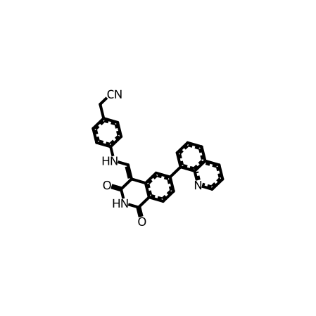 N#CCc1ccc(N/C=C2\C(=O)NC(=O)c3ccc(-c4cccc5cccnc45)cc32)cc1